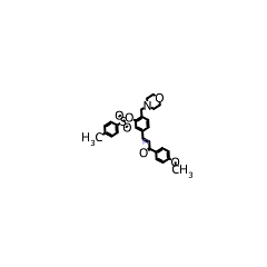 COc1ccc(C(=O)/C=C/c2ccc(CN3CCOCC3)c(OS(=O)(=O)c3ccc(C)cc3)c2)cc1